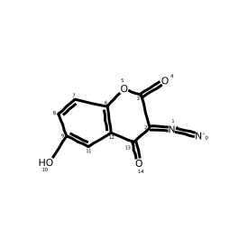 [N-]=[N+]=C1C(=O)Oc2ccc(O)cc2C1=O